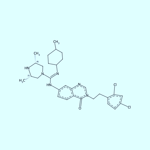 CC1CCC(N=C(Nc2ccc3c(=O)n(CCc4ccc(Cl)cc4Cl)cnc3c2)N2C[C@@H](C)N[C@@H](C)C2)CC1